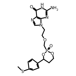 CSc1ccc(C2CCOP(=O)(COCCn3cnc4c(=O)[nH]c(N)nc43)O2)cc1